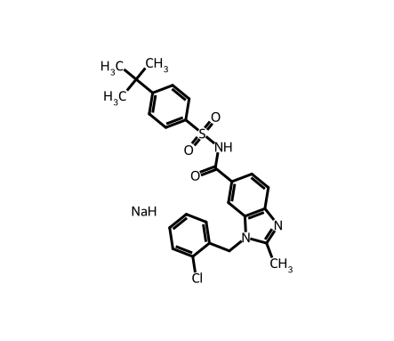 Cc1nc2ccc(C(=O)NS(=O)(=O)c3ccc(C(C)(C)C)cc3)cc2n1Cc1ccccc1Cl.[NaH]